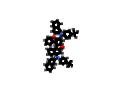 CC(C)(C)c1ccc(N(c2ccc3ccccc3c2)c2cc3oc4cc(N(c5ccc(C(C)(C)C)cc5)c5ccc6ccccc6c5)c5oc6ccccc6c5c4c3c3ccccc23)cc1